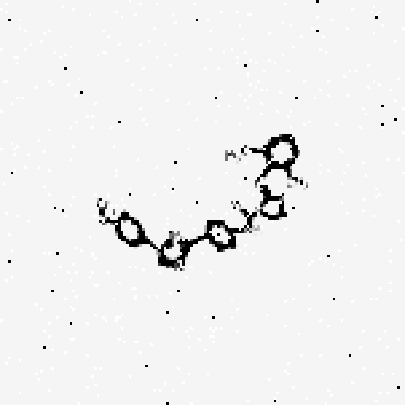 Cc1cccc(C)c1N=C1SCCN1C(=O)Nc1ccc(-c2ncn(-c3ccc(OC(F)(F)F)cc3)n2)cc1